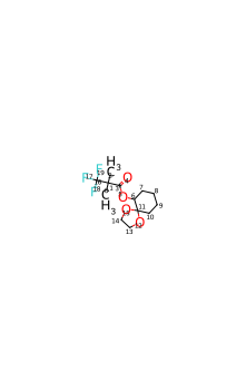 CC(C)(C(=O)OC1CCCCC12OCCO2)C(F)(F)F